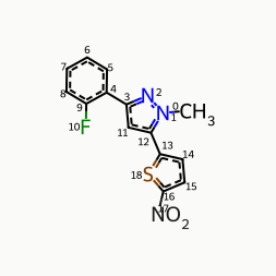 Cn1nc(-c2ccccc2F)cc1-c1ccc([N+](=O)[O-])s1